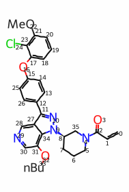 C=CC(=O)N1CCC[C@@H](n2nc(-c3ccc(Oc4cccc(OC)c4Cl)cc3)c3cncc(OCCCC)c32)C1